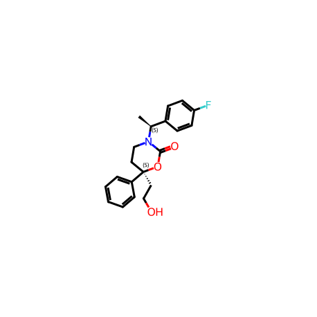 C[C@@H](c1ccc(F)cc1)N1CC[C@](CCO)(c2ccccc2)OC1=O